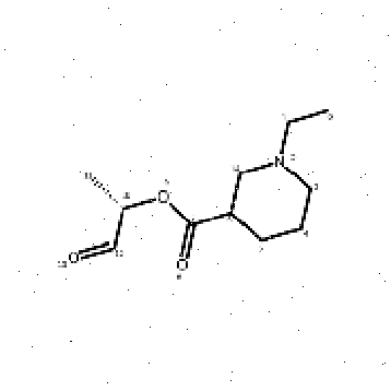 CCN1CCCC(C(=O)O[C@@H](C)C=O)C1